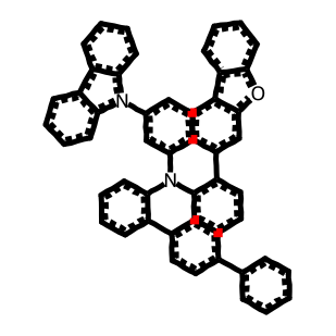 c1ccc(-c2ccc(-c3ccccc3N(c3cccc(-n4c5ccccc5c5ccccc54)c3)c3ccccc3-c3ccc4c(c3)oc3ccccc34)cc2)cc1